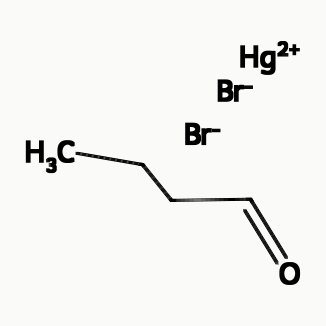 CCCC=O.[Br-].[Br-].[Hg+2]